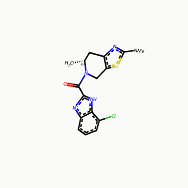 CNc1nc2c(s1)CN(C(=O)c1nc3cccc(Cl)c3[nH]1)[C@H](C)C2